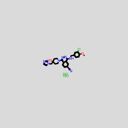 COc1ccc(CNc2nnc(N3CCC(O)(Cn4ccnc4)CC3)c3ccc(C#N)cc23)cc1Cl.Cl.Cl